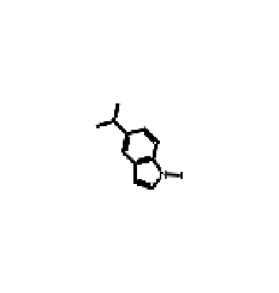 CC(C)c1ccc2c(ccn2I)c1